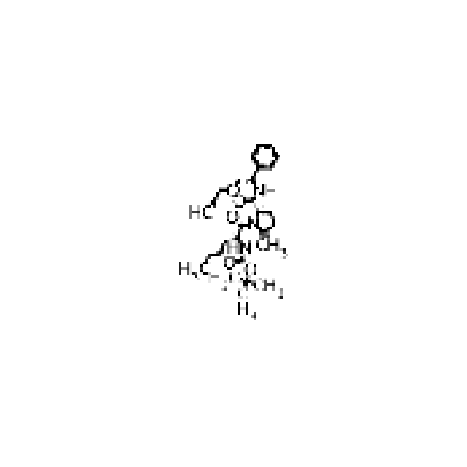 C#CCOC[C@@H](NC(=O)[C@@H]1CC[C@H](C)N1C(=O)[C@H](CCCC)NC(=O)OC(C)(C)C)c1ccccc1